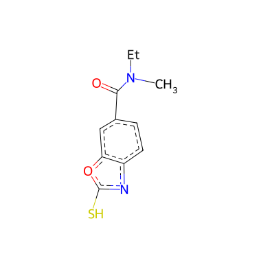 CCN(C)C(=O)c1ccc2nc(S)oc2c1